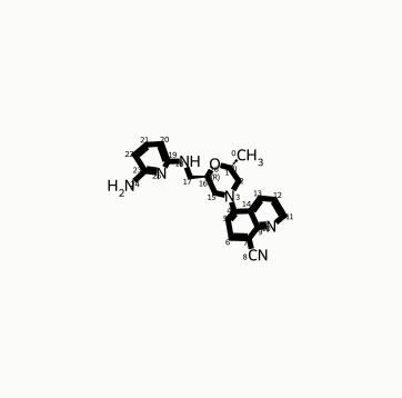 C[C@@H]1CN(c2ccc(C#N)c3ncccc23)C[C@@H](CNc2cccc(N)n2)O1